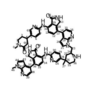 CN1CCC(c2ccc(Nc3ccc(-c4ccnc5c4ccn5CC4CC(C)(c5ccc(Nc6ccc(-c7ccnc8c7ccn8C)c7c6C(=O)NC7)nc5)CCN4)c4c3C(=O)NC4)nc2)CC1=O